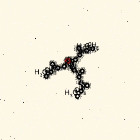 CC1(C)c2ccccc2-c2ccc(-n3c4ccccc4c4cc(-c5ccc6c(c5)c5ccccc5n6-c5ccc6nc(-n7c8ccccc8c8cc(-c9ccc%10c(c9)c9ccccc9n%10-c9ccc%10c(c9)C(C)(C)c9ccccc9-%10)ccc87)c(-n7c8ccccc8c8cc(-c9ccc%10c(c9)c9ccccc9n%10-c9ccc%10c(c9)C(C)(C)c9ccccc9-%10)ccc87)nc6c5)ccc43)cc21